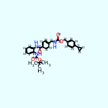 CC(C)(C)OC(=O)Nc1ccccc1NC(=O)c1ccc(CNC(=O)OCc2ccc(C3CC3)cc2)cc1